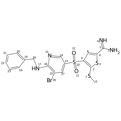 CSc1sc(C(=N)N)cc1S(=O)(=O)c1cnc(NCc2ccccc2)c(Br)c1